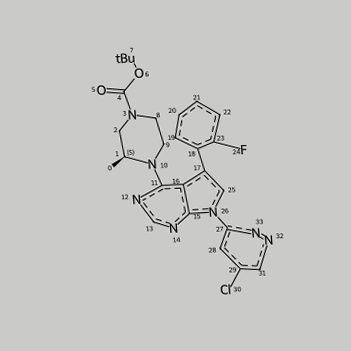 C[C@H]1CN(C(=O)OC(C)(C)C)CCN1c1ncnc2c1c(-c1ccccc1F)cn2-c1cc(Cl)cnn1